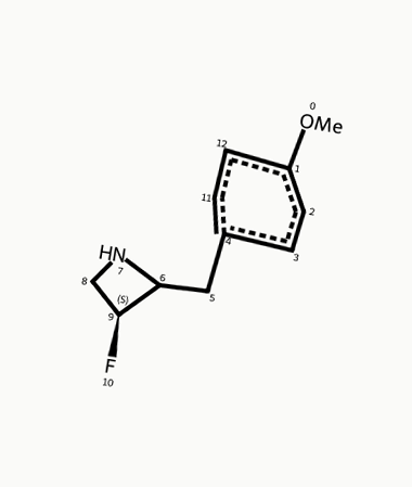 COc1ccc(CC2NC[C@@H]2F)cc1